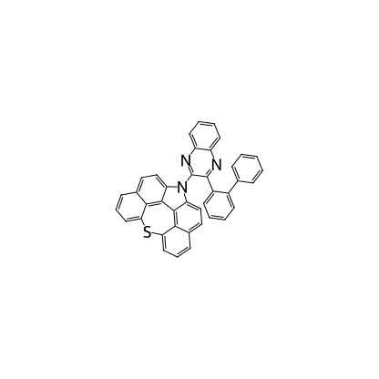 c1ccc(-c2ccccc2-c2nc3ccccc3nc2-n2c3ccc4cccc5sc6cccc7ccc2c(c76)c3c45)cc1